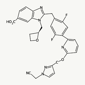 N#CCn1ccc(COc2cccc(-c3cc(F)c(Cc4nc5ccc(C(=O)O)cc5n4C[C@@H]4CCO4)cc3F)n2)n1